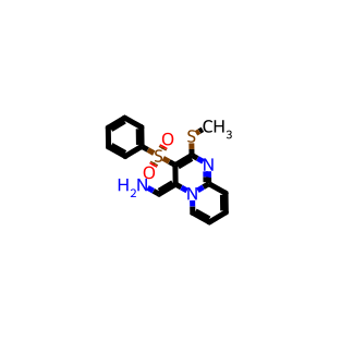 CSC1=C(S(=O)(=O)c2ccccc2)C(=CN)N2C=CC=CC2=N1